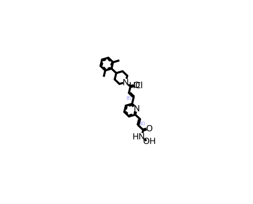 Cc1cccc(C)c1C1CCN(C(=O)/C=C/c2cccc(/C=C/C(=O)NO)n2)CC1.Cl